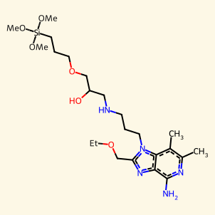 CCOCc1nc2c(N)nc(C)c(C)c2n1CCCNCC(O)COCCC[Si](OC)(OC)OC